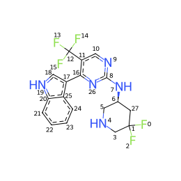 FC1(F)CNC[C@@H](Nc2ncc(C(F)(F)F)c(-c3c[nH]c4ccccc34)n2)C1